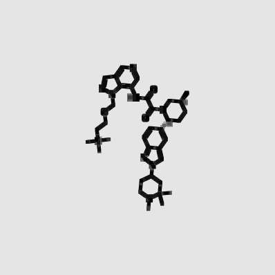 C[C@H]1CC[C@H](c2ccc3nn(C4CCN(C)C(C)(C)C4)cc3c2)N(C(=O)C(=O)Nc2cncc3cnn(COCC[Si](C)(C)C)c23)C1